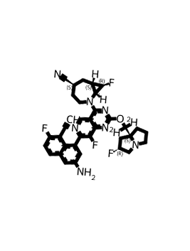 [2H]C([2H])(Oc1nc(N2CC[C@@H](C#N)C[C@@H]3[C@@H](F)[C@@H]32)c2cnc(-c3cc(N)cc4ccc(F)c(C#C)c34)c(F)c2n1)[C@@]12CCCN1C[C@H](F)C2